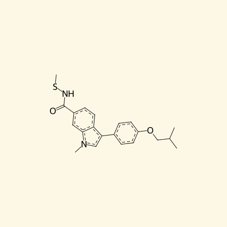 CSNC(=O)c1ccc2c(-c3ccc(OCC(C)C)cc3)cn(C)c2c1